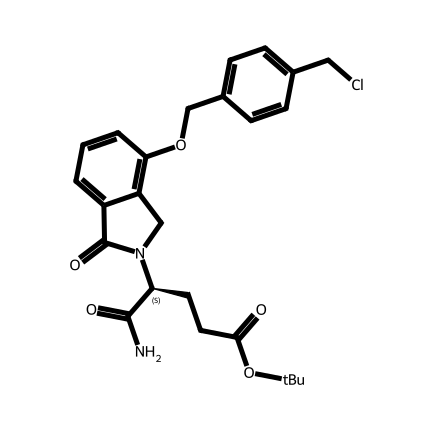 CC(C)(C)OC(=O)CC[C@@H](C(N)=O)N1Cc2c(OCc3ccc(CCl)cc3)cccc2C1=O